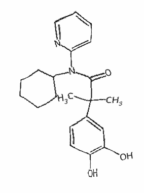 CC(C)(C(=O)N(c1ccccn1)C1CCCCC1)c1ccc(O)c(O)c1